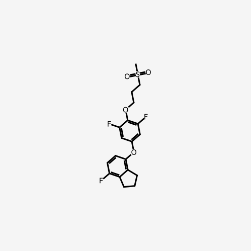 CS(=O)(=O)CCCOc1c(F)cc(Oc2ccc(F)c3c2CCC3)cc1F